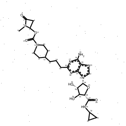 CN1C(=O)CC1OC(=O)N1CCC(CCCc2nc(N)c3ncn([C@@H]4O[C@H](C(=O)NC5CC5)C(O)[C@@H]4O)c3n2)CC1